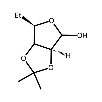 CC[C@H]1OC(O)[C@H]2OC(C)(C)OC21